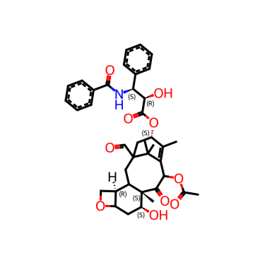 CC(=O)OC1C(=O)[C@@]2(C)C(CC3(C=O)C[C@H](OC(=O)[C@H](O)[C@@H](NC(=O)c4ccccc4)c4ccccc4)C(C)=C1C3(C)C)[C@@H]1COC1C[C@@H]2O